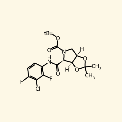 CC(C)(C)OC(=O)N1C[C@H]2OC(C)(C)O[C@H]2[C@H]1C(=O)Nc1ccc(F)c(Cl)c1F